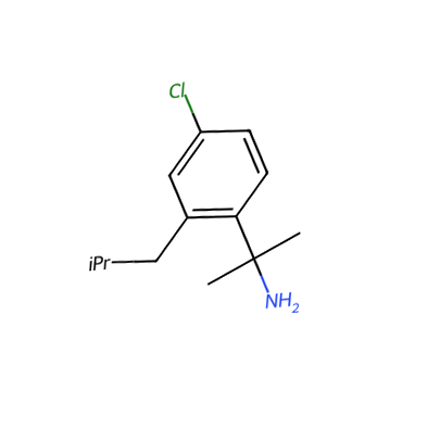 CC(C)Cc1cc(Cl)ccc1C(C)(C)N